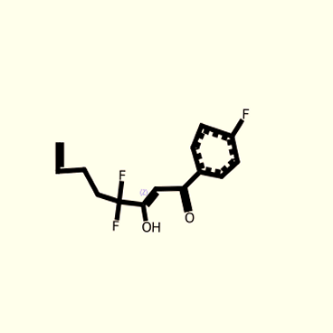 C=CCCC(F)(F)/C(O)=C/C(=O)c1ccc(F)cc1